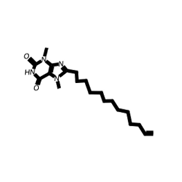 C=CCCCCCCCCCCCc1nc2c(c(=O)[nH]c(=O)n2C)n1C